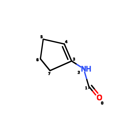 O=[C]NC1=CCCC1